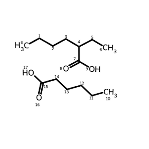 CCCCC(CC)C(=O)O.CCCCCC(=O)O